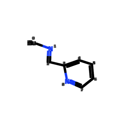 CCC(C)N=Cc1ccccn1